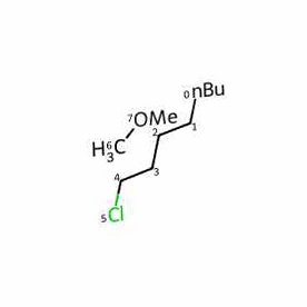 CCCCCCCCCl.COC